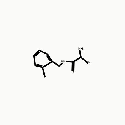 Cc1ccccc1CNC(=O)C(N)C(C)C